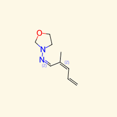 C=C/C=C(C)\C=N/N1CCOC1